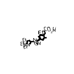 CCc1cc(-c2nc(-c3cc(C)c(CCC(=O)O)c(CC)c3)no2)cnc1N(CC)CC